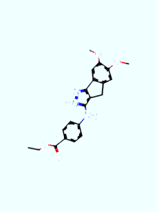 CCOC(=O)c1ccc(Nc2[nH]nc3c2Cc2cc(OC)c(OC)cc2-3)cc1